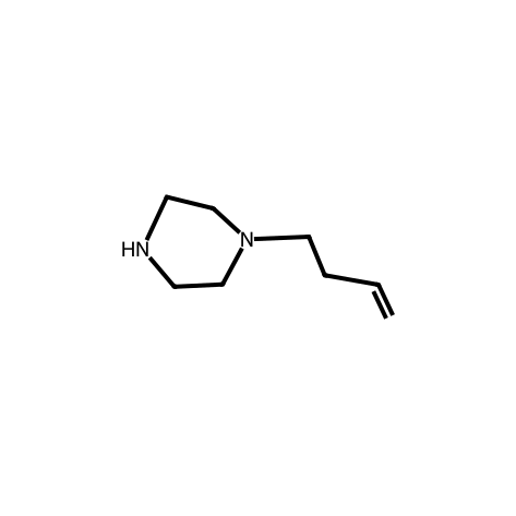 C=CCCN1CCNCC1